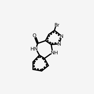 O=C1Nc2ccccc2Nc2nnc(Br)cc21